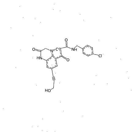 O=C1Cn2cc(C(=O)NCc3ccc(Cl)cc3)c(=O)c3cc(C#CCO)cc(c32)N1